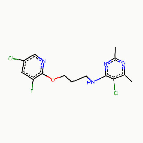 Cc1nc(C)c(Cl)c(NCCCOc2ncc(Cl)cc2F)n1